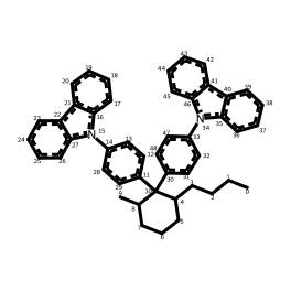 CCCCC1CCCC(C)C1(c1ccc(-n2c3ccccc3c3ccccc32)cc1)c1ccc(-n2c3ccccc3c3ccccc32)cc1